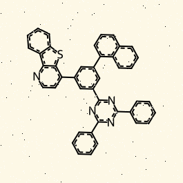 c1ccc(-c2nc(-c3ccccc3)nc(-c3cc(-c4cccc5ccccc45)cc(-c4ccnc5c4sc4ccccc45)c3)n2)cc1